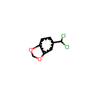 ClC(Cl)c1ccc2c(c1)OCO2